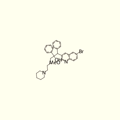 COc1nc2ccc(Br)cc2cc1C(c1ccccc1)C(O)(CCCCN1CCCCC1)c1ccccc1